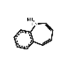 C1=CNc2ccccc2C=C1.N